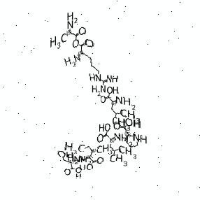 CC(C)C[C@H](N)C(=O)O.CC(C)C[C@H](N)C(=O)O.CC[C@H](C)[C@H](N)C(=O)O.C[C@H](N)C(=O)OC(=O)[C@@H](N)CCCNC(=N)N.N[C@@H](CO)C(=O)O.O=C(O)[C@@H]1CCCN1